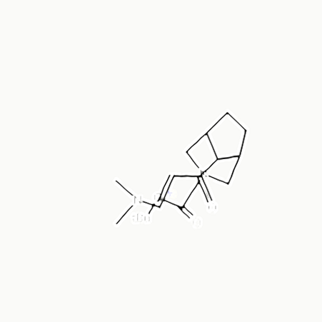 CN(C)/C=C/C(=O)C1C2CCC1CN(C(=O)OC(C)(C)C)C2